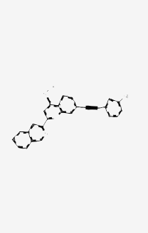 Nc1cccc(C#Cc2ccc3/c(=N\O)cc(-c4cc5ccccc5cn4)oc3c2)c1